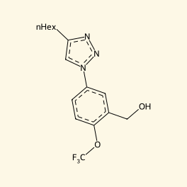 CCCCCCc1cn(-c2ccc(OC(F)(F)F)c(CO)c2)nn1